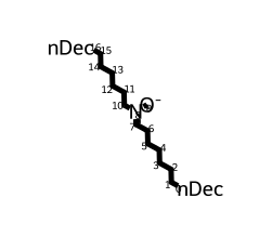 CCCCCCCCCCCCCCCCC=[N+]([O-])CCCCCCCCCCCCCCCC